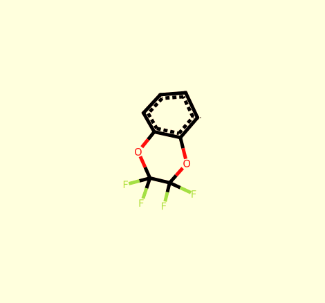 FC1(F)Oc2[c]cccc2OC1(F)F